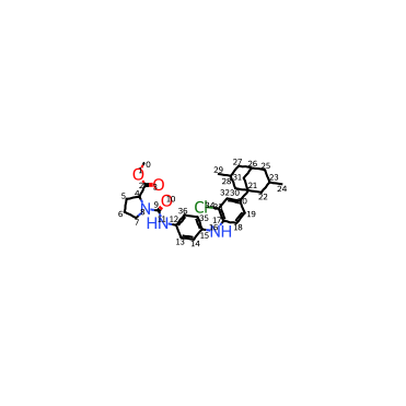 COC(=O)C1CCCN1C(=O)Nc1ccc(Nc2ccc(C34CC(C)CC(CC(C)C3)C4)cc2Cl)cc1